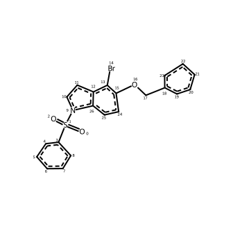 O=S(=O)(c1ccccc1)n1ccc2c(Br)c(OCc3ccccc3)ccc21